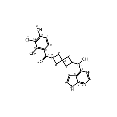 CN(c1ncnc2[nH]ccc12)C1CC2(C1)CN(C(=O)c1ccc(C#N)c(Cl)c1Cl)C2